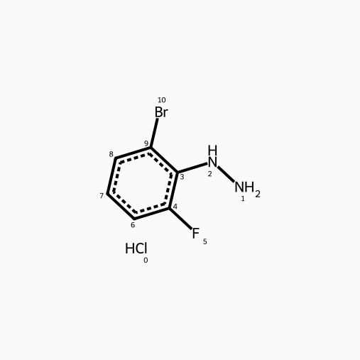 Cl.NNc1c(F)cccc1Br